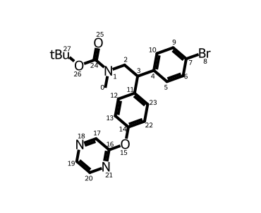 CN(CC(c1ccc(Br)cc1)c1ccc(Oc2cnccn2)cc1)C(=O)OC(C)(C)C